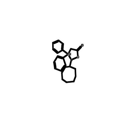 O=C1C[PH](c2ccccc2)(c2ccccc2)N(C2CCCCCCC2)O1